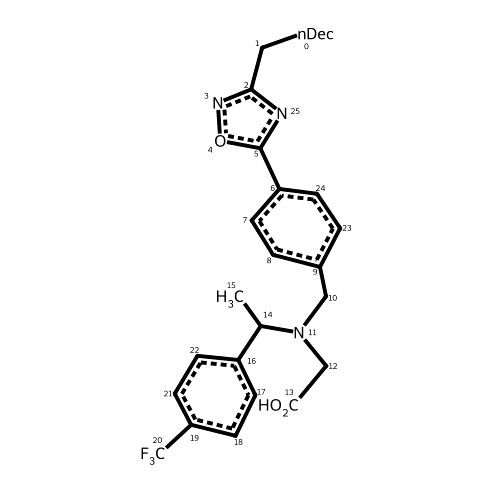 CCCCCCCCCCCc1noc(-c2ccc(CN(CC(=O)O)C(C)c3ccc(C(F)(F)F)cc3)cc2)n1